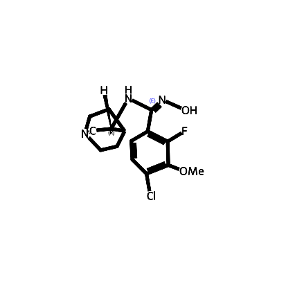 COc1c(Cl)ccc(/C(=N\O)N[C@H]2CN3CCC2CC3)c1F